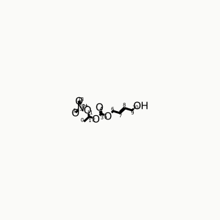 CC(OC(=O)OCC=CCO)O[N+](=O)[O-]